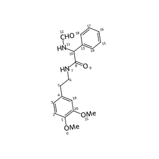 COc1ccc(CCNC(=O)C(NC=O)c2ccccc2)cc1OC